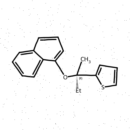 CC[C@@](C)(Oc1cccc2ccccc12)c1cccs1